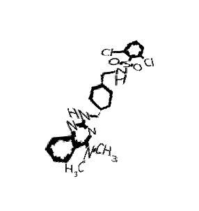 CN(C)c1nc(NC[C@H]2CC[C@H](CNS(=O)(=O)c3c(Cl)cccc3Cl)CC2)nc2ccccc12